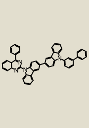 C1=CC2N=C(n3c4ccccc4c4cc(-c5ccc6c(c5)c5ccccc5n6-c5cccc(-c6ccccc6)c5)ccc43)N=C(c3ccccc3)C2C=C1